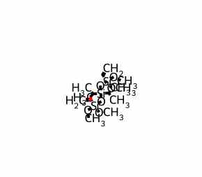 C=C[Si](OC)(OC)O[Si](O[Si](C=C)(OC)OC)(C(C)C)C(C)C